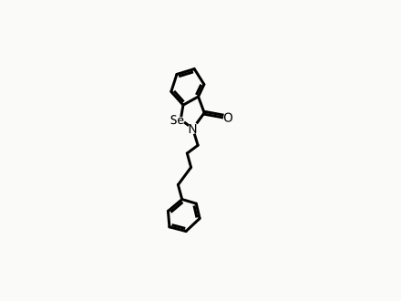 O=c1c2ccccc2[se]n1CCCCc1ccccc1